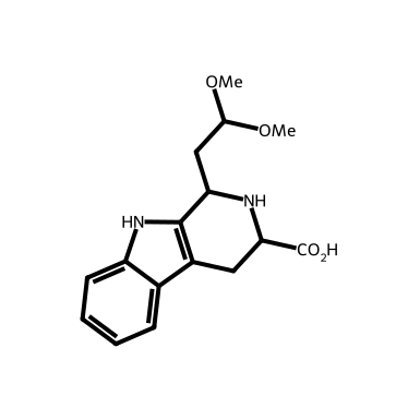 COC(CC1NC(C(=O)O)Cc2c1[nH]c1ccccc21)OC